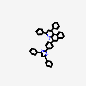 C1=CC(C2=CC(c3ccccc3)Nc3c(-c4ccc(-c5nc(-c6ccccc6)cc(-c6ccccc6)n5)cc4)cc4ccccc4c32)=CCC1